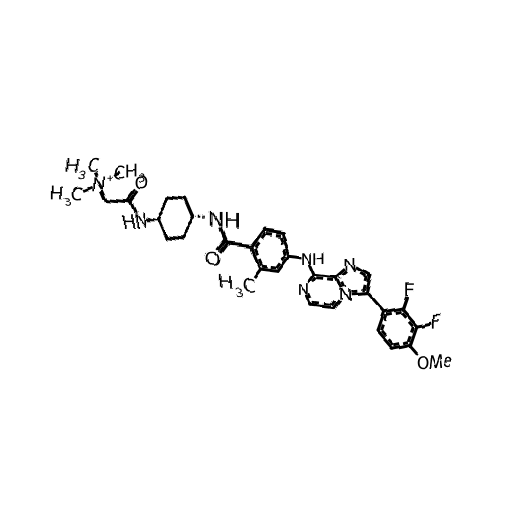 COc1ccc(-c2cnc3c(Nc4ccc(C(=O)N[C@H]5CC[C@H](NC(=O)C[N+](C)(C)C)CC5)c(C)c4)nccn23)c(F)c1F